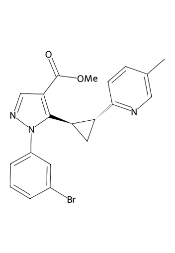 COC(=O)c1cnn(-c2cccc(Br)c2)c1[C@@H]1C[C@H]1c1ccc(C)cn1